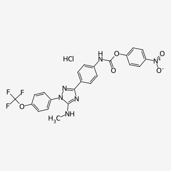 CNc1nc(-c2ccc(NC(=O)Oc3ccc([N+](=O)[O-])cc3)cc2)nn1-c1ccc(OC(F)(F)F)cc1.Cl